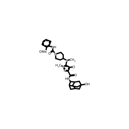 COc1ccccc1NC(=O)N1CCC(N(C)c2c(Cl)c(C(=O)NC3C4CC5CC3CC(O)(C5)C4)nn2C)CC1